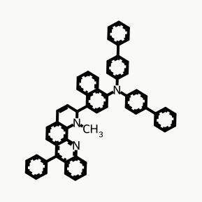 CN1c2c(ccc3c(-c4ccccc4)c4ccccc4nc23)C=CC1c1ccc(N(c2ccc(-c3ccccc3)cc2)c2ccc(-c3ccccc3)cc2)c2ccccc12